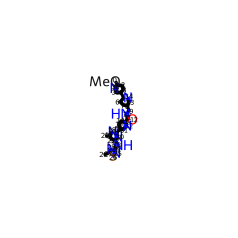 COc1ccc(-c2ccc(CNC(=O)c3ccc(-c4nc(C)cc(Nc5nsc(C)n5)n4)cn3)cn2)cn1